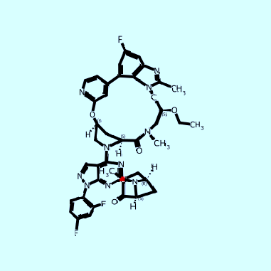 CCO[C@H]1CN(C)C(=O)[C@@H]2C[C@@H](CN2c2nc(N3[C@@H]4C[C@H]3C(=O)N(C)C4)nc3c2cnn3-c2ccc(F)cc2F)Oc2cc(ccn2)-c2cc(F)cc3nc(C)n(c23)C1